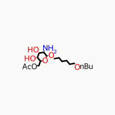 CCCCOCCCCCCO[C@@H]1OC(COC(C)=O)[C@H](O)C(O)[C@@H]1N